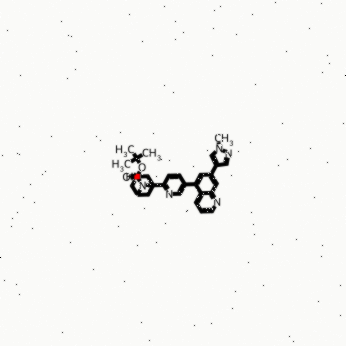 Cn1cc(-c2cc(-c3ccc(C45CNCC(C4)N5C(=O)OC(C)(C)C)nc3)c3cccnc3c2)cn1